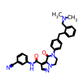 CN(C)Cc1ccccc1Cc1ccc(N2CCn3ncc(C(=O)Nc4cccc(C#N)c4)c3C2=O)cc1